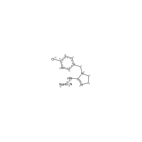 O=[N+]([O-])NC1=NCCN1Cc1ccc(Cl)nc1.[NaH]